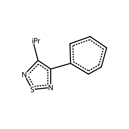 CC(C)c1nsnc1-c1ccccc1